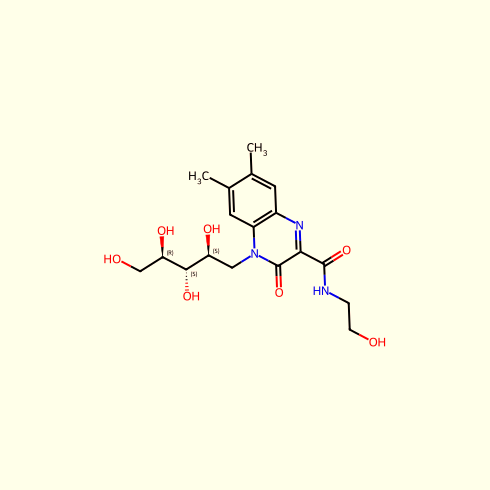 Cc1cc2nc(C(=O)NCCO)c(=O)n(C[C@H](O)[C@H](O)[C@H](O)CO)c2cc1C